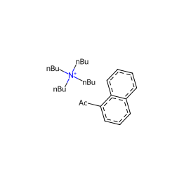 CC(=O)c1cccc2ccccc12.CCCC[N+](CCCC)(CCCC)CCCC